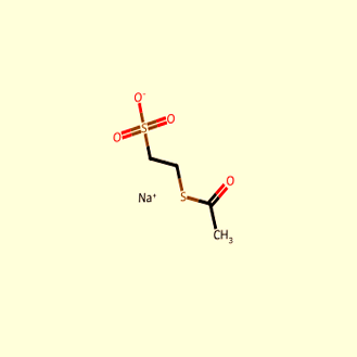 CC(=O)SCCS(=O)(=O)[O-].[Na+]